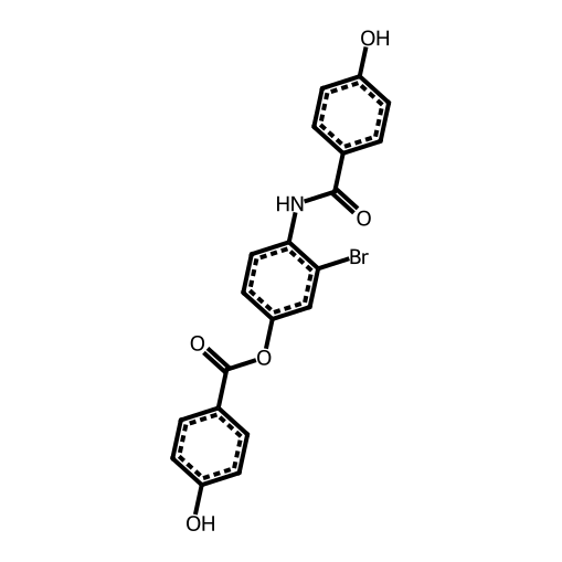 O=C(Nc1ccc(OC(=O)c2ccc(O)cc2)cc1Br)c1ccc(O)cc1